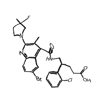 Cc1c(N2CCC(C)(F)C2)nc2ccc(Br)cc2c1C(=O)NCC(CCC(=O)O)c1ccccc1Cl